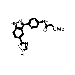 COCC(=O)Nc1ccc(-c2n[nH]c3ccc(-c4nc[nH]n4)cc23)cc1